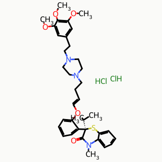 COc1cc(CCN2CCN(CCC=COc3ccccc3[C@@]3(C(C)C)Sc4ccccc4N(C)C3=O)CC2)cc(OC)c1OC.Cl.Cl